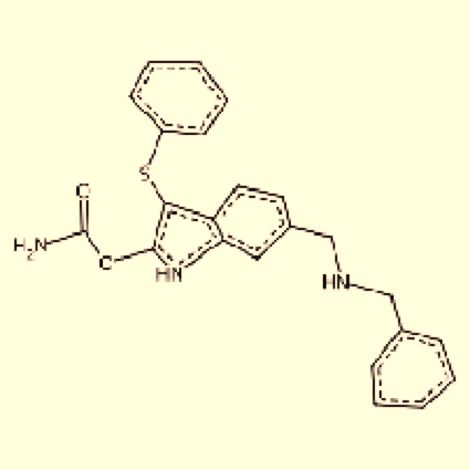 NC(=O)Oc1[nH]c2cc(CNCc3ccccc3)ccc2c1Sc1ccccc1